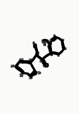 O=C(C(=O)c1ccccn1)c1ccccc1